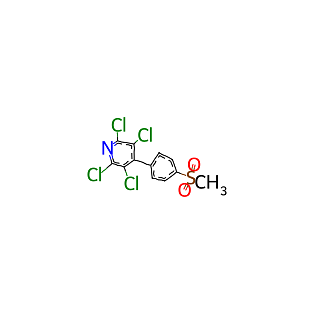 CS(=O)(=O)c1ccc(-c2c(Cl)c(Cl)nc(Cl)c2Cl)cc1